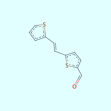 O=Cc1ccc(/C=C/c2cccs2)s1